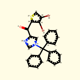 O=C(c1cn(C(c2ccccc2)(c2ccccc2)c2ccccc2)cn1)c1scc(Br)c1Br